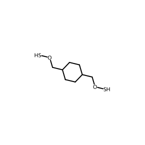 SOCC1CCC(COS)CC1